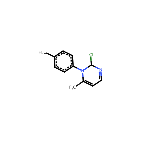 Cc1ccc(N2C(C(F)(F)F)=CC=NC2Cl)cc1